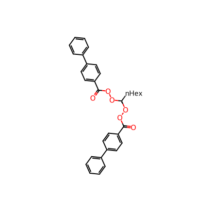 [CH2]CCCCC[C](OOC(=O)c1ccc(-c2ccccc2)cc1)OOC(=O)c1ccc(-c2ccccc2)cc1